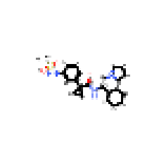 CS(=O)(=O)Nc1cccc(C2(C(=O)N[C@H](CN3CCCC3)C3CCCCC3)CC2)c1